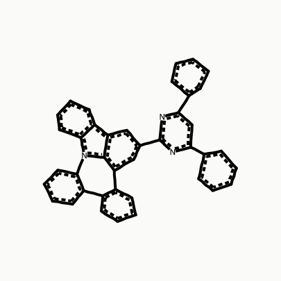 c1ccc(-c2cc(-c3ccccc3)nc(-c3cc4c5c(c3)c3ccccc3n5-c3ccccc3-c3ccccc3-4)n2)cc1